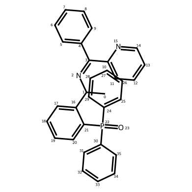 CC(N=C(c1ccccc1)c1ccccn1)c1ccccc1P(=O)(c1ccccc1)c1ccccc1